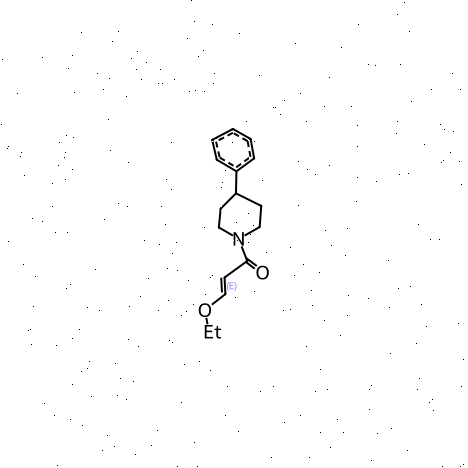 CCO/C=C/C(=O)N1CCC(c2ccccc2)CC1